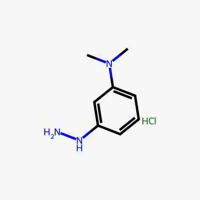 CN(C)c1cccc(NN)c1.Cl